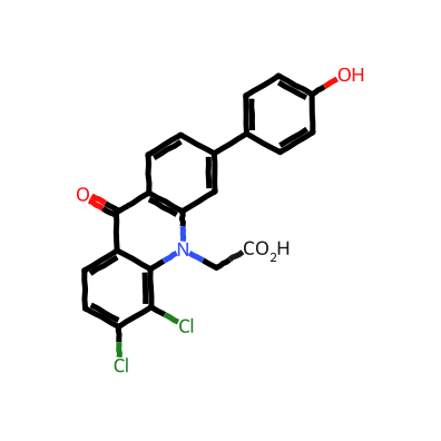 O=C(O)Cn1c2cc(-c3ccc(O)cc3)ccc2c(=O)c2ccc(Cl)c(Cl)c21